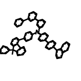 CC1(c2ccccc2)c2ccccc2-c2c(-c3ccc(N(c4ccc(-c5ccc(-c6cccc7ccccc67)cc5)cc4)c4cccc(-c5cccc(-c6ccccc6)c5)c4)cc3)cccc21